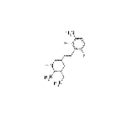 CN1C=C(C=Cc2c(F)ccc(N)c2F)CC(CN)C1N